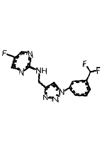 Fc1cnc(NCc2cn(-c3cccc(C(F)F)c3)nn2)nc1